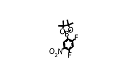 CC1(C)OB(c2cc([N+](=O)[O-])c(F)cc2F)OC1(C)C